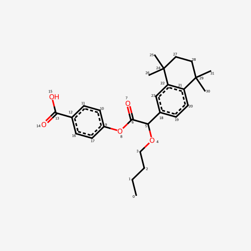 CCCCOC(C(=O)Oc1ccc(C(=O)O)cc1)c1ccc2c(c1)C(C)(C)CCC2(C)C